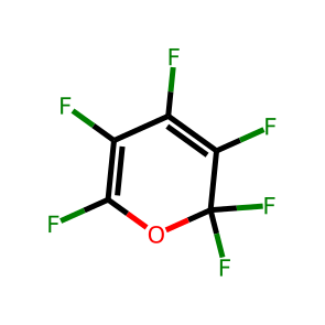 FC1=C(F)C(F)=C(F)C(F)(F)O1